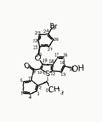 CCc1ccccc1C(=O)c1sc2cc(O)ccc2c1Oc1ccc(Br)cc1